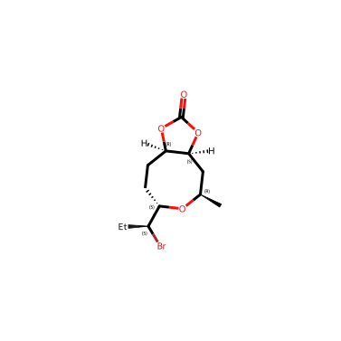 CC[C@H](Br)[C@@H]1CC[C@H]2OC(=O)O[C@H]2C[C@@H](C)O1